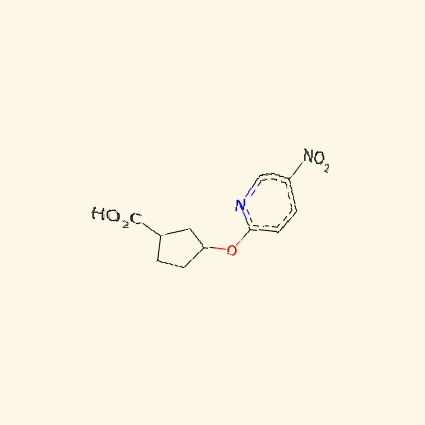 O=C(O)C1CCC(Oc2ccc([N+](=O)[O-])cn2)C1